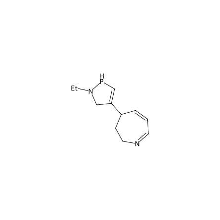 CCN1CC(C2C=CC=NCC2)=CP1